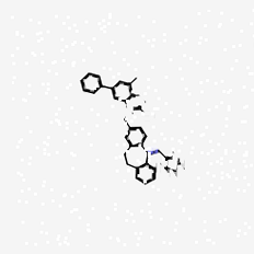 CCc1nc2c(C)cc(-c3ccccc3)cc2n1Cc1ccc2c(c1)CCc1ccccc1/C2=C\c1nnn[nH]1